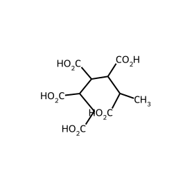 CC(C(=O)O)C(C(=O)O)C(C(=O)O)C([CH]C(=O)O)C(=O)O